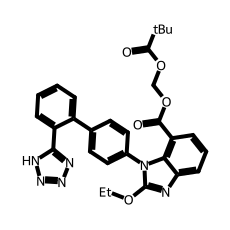 CCOc1nc2cccc(C(=O)OCOC(=O)C(C)(C)C)c2n1-c1ccc(-c2ccccc2-c2nnn[nH]2)cc1